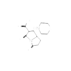 C1COCCN1.O=C(O)C1CC2CCC(=O)N2C1=O